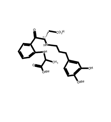 COC(=O)C(C)Nc1ccccc1C(=O)[C@H](CC(=O)O)NCCCc1ccc(OC)c(O)c1